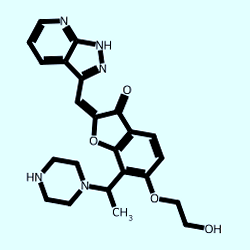 CC(c1c(OCCO)ccc2c1OC(=Cc1n[nH]c3ncccc13)C2=O)N1CCNCC1